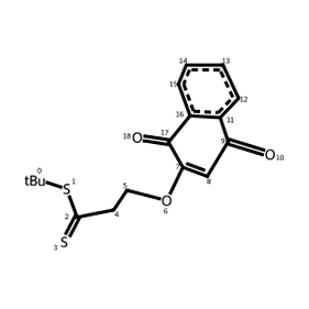 CC(C)(C)SC(=S)CCOC1=CC(=O)c2ccccc2C1=O